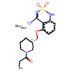 CC(C)CC(=O)N1CCC[C@H](COc2cccc3c2C(N)=NS([O-])([O-])N3)C1.[Na+].[Na+]